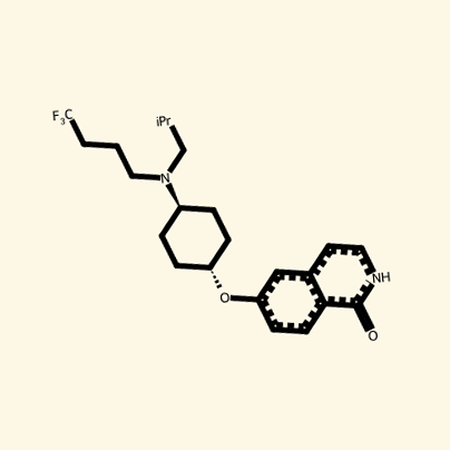 CC(C)CN(CCCC(F)(F)F)[C@H]1CC[C@H](Oc2ccc3c(=O)[nH]ccc3c2)CC1